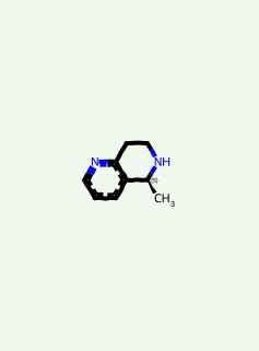 C[C@@H]1NCCc2ncccc21